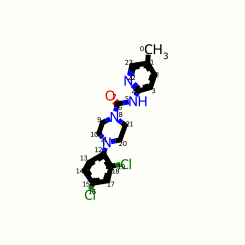 Cc1ccc(NC(=O)N2CCN(c3ccc(Cl)cc3Cl)CC2)nc1